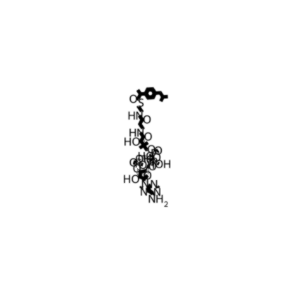 CC(C)Cc1ccc(C(C)C(=O)SCCNC(=O)CCNC(=O)[C@H](O)C(C)(C)COP(=O)(O)OP(=O)(O)OC[C@H]2O[C@@H](n3cnc4c(N)ncnc43)[C@H](O)[C@@H]2OP(=O)(O)O)cc1